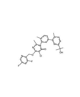 Cc1ccc(-c2nc(C(C)(C)O)ncc2C)cc1-n1c(C)nc(OCc2ncc(F)cc2F)c(Cl)c1=O